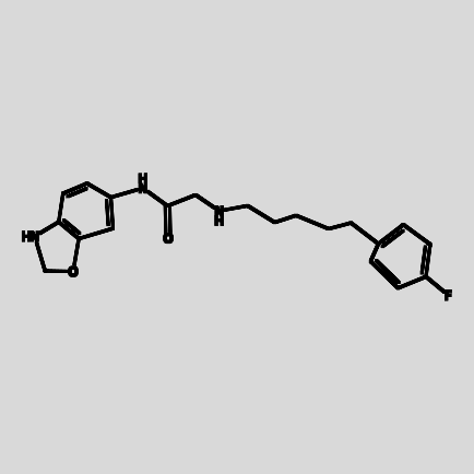 O=C(CNCCCCCc1ccc(F)cc1)Nc1ccc2c(c1)OCN2